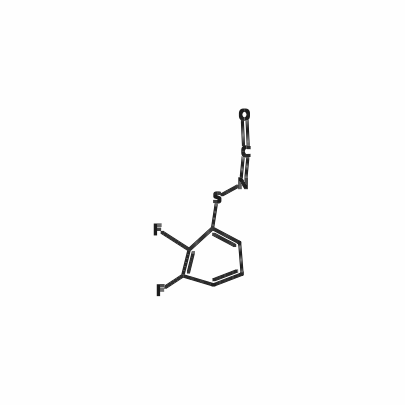 O=C=NSc1cccc(F)c1F